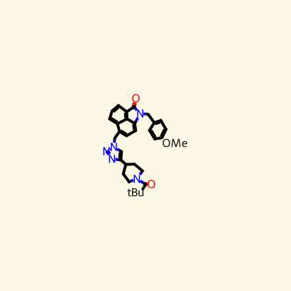 COc1ccc(CN2C(=O)c3cccc4c(Cn5cc(C6CCN(C(=O)C(C)(C)C)CC6)nn5)ccc2c34)cc1